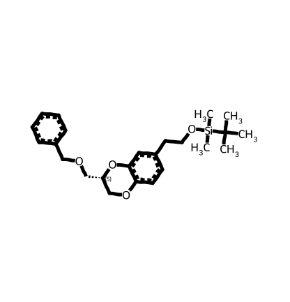 CC(C)(C)[Si](C)(C)OCCc1ccc2c(c1)O[C@@H](COCc1ccccc1)CO2